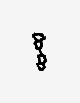 c1cnc2nc(-c3ccc4nccnc4c3)ccc2c1